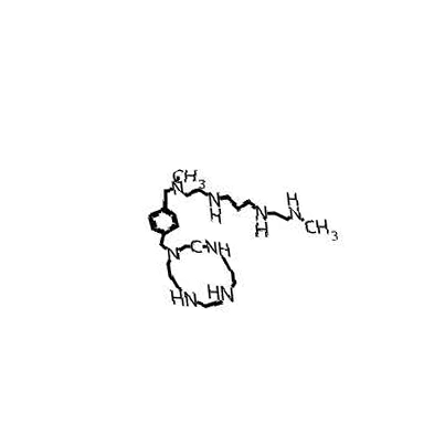 CNCCNCCCNCCN(C)Cc1ccc(CN2CCCNCCNCCCNCC2)cc1